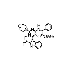 COC(=O)[C@@H](Nc1nc(N2CCOCC2)nc(-n2c(C(F)F)nc3ccccc32)n1)c1ccccc1